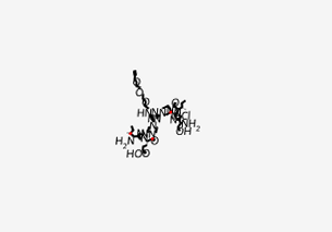 C#CCOCCOCCOCCNc1nc(N2CCN(C(=O)C([C@@H](C)CC)n3cc(C(N)CO)nn3)CC2)nc(N2CCN(C(=O)[C@H](CCC(=O)O)n3cc(C(N)[C@H](C)CC)nn3)CC2)n1.Cl